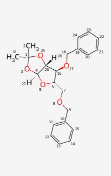 CC1(C)O[C@@H]2O[C@@H](COCc3ccccc3)[C@H](OCc3ccccc3)[C@H]2O1